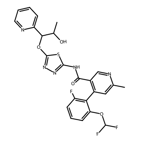 Cc1cc(-c2c(F)cccc2OC(F)F)c(C(=O)Nc2nnc(OC(c3ccccn3)C(C)O)s2)cn1